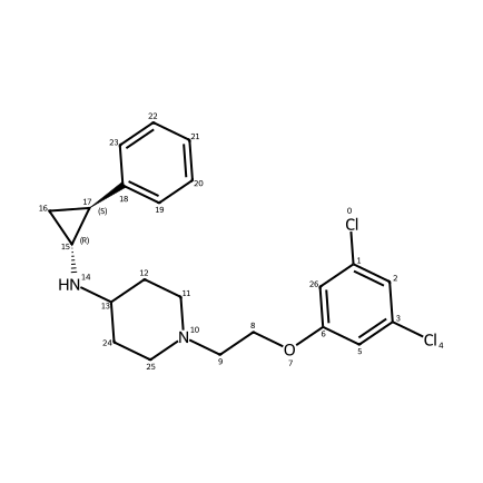 Clc1cc(Cl)cc(OCCN2CCC(N[C@@H]3C[C@H]3c3ccccc3)CC2)c1